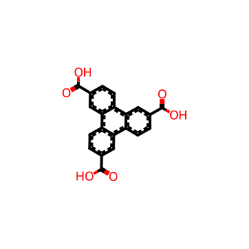 O=C(O)c1ccc2c(c1)c1ccc(C(=O)O)cc1c1ccc(C(=O)O)cc21